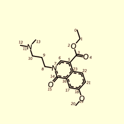 CCOC(=O)c1cn(CCCN(C)C)c(=O)c2cc(OC)ccc12